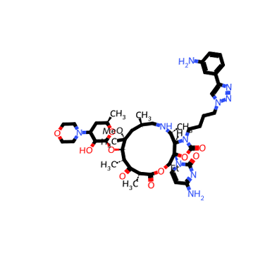 CC[C@H]1OC(=O)[C@H](C)C(=O)[C@H](C)[C@@H](O[C@@H]2O[C@H](C)CC(N3CCOCC3)C2O)[C@](C)(OC)C[C@@H](C)CN[C@H](C)[C@H]2N(CCCCn3cc(-c4cccc(N)c4)nn3)C(=O)O[C@]12n1ccc(N)nc1=O